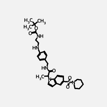 CC(C(=O)NCc1ccc(NCCNC(=O)OC(C)(C)C)cc1)n1ccc2cc(S(=O)(=O)N3CCCCC3)ccc21